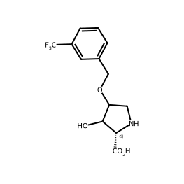 O=C(O)[C@H]1NCC(OCc2cccc(C(F)(F)F)c2)C1O